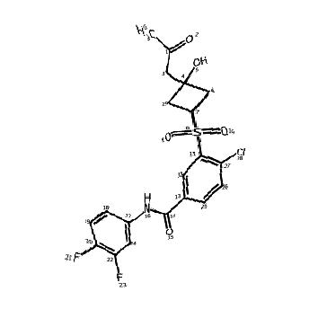 CC(=O)CC1(O)CC(S(=O)(=O)c2cc(C(=O)Nc3ccc(F)c(F)c3)ccc2Cl)C1